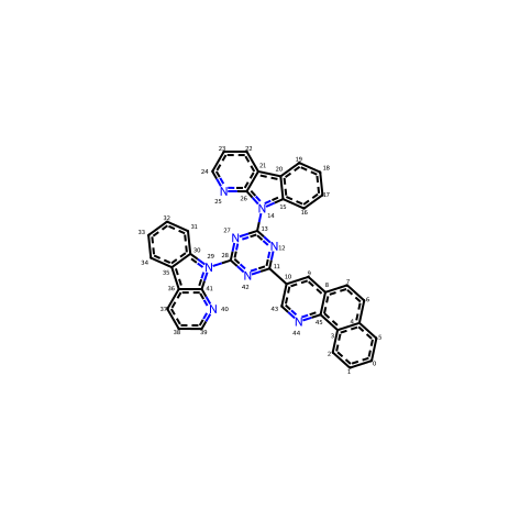 c1ccc2c(c1)ccc1cc(-c3nc(-n4c5ccccc5c5cccnc54)nc(-n4c5ccccc5c5cccnc54)n3)cnc12